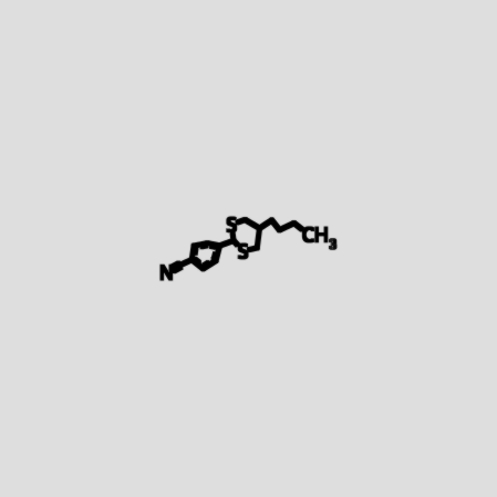 CCCCC1CSC(c2ccc(C#N)cc2)SC1